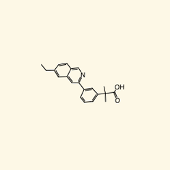 CCc1ccc2cnc(-c3cccc(C(C)(C)C(=O)O)c3)cc2c1